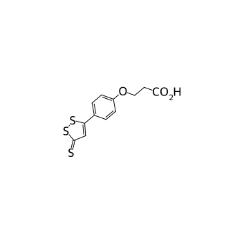 O=C(O)CCOc1ccc(-c2cc(=S)ss2)cc1